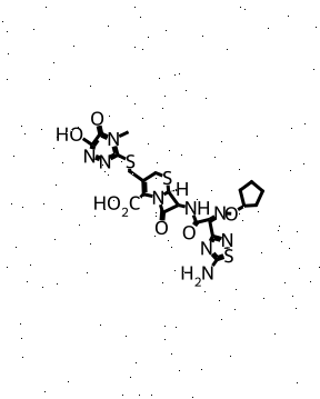 Cn1c(SCC2=C(C(=O)O)N3C(=O)C(NC(=O)C(=NOC4CCCC4)c4nsc(N)n4)[C@@H]3SC2)nnc(O)c1=O